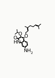 CC(C)=CCC/C(C)=C/COc1c(OC(C)C)c(=O)[nH]c2cc(N)ccc12